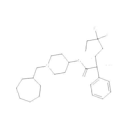 O=C(NC1CCN(CC2CCCCCC2)CC1)[C@](O)(c1ccccc1)[C@@H]1CCC(F)(F)C1